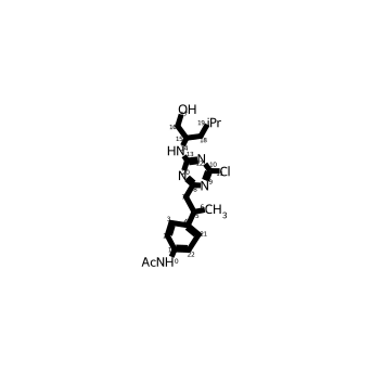 CC(=O)Nc1ccc(C(C)Cc2nc(Cl)nc(NC(CO)CC(C)C)n2)cc1